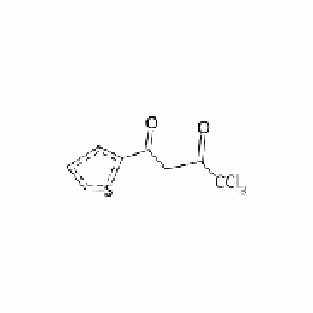 O=C(CC(=O)C(Cl)(Cl)Cl)c1cccs1